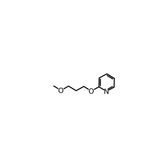 COCCCOc1ccccn1